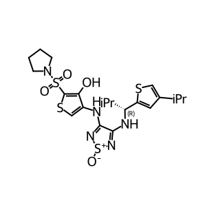 CC(C)c1csc([C@H](Nc2n[s+]([O-])nc2Nc2csc(S(=O)(=O)N3CCCC3)c2O)C(C)C)c1